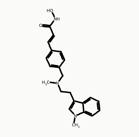 CN(CCc1cn(C)c2ccccc12)Cc1ccc(/C=C/C(=O)NO)cc1